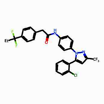 CCC(F)(F)c1ccc(CC(=O)Nc2ccc(-n3nc(C(F)(F)F)cc3-c3ccccc3Cl)cc2)cc1